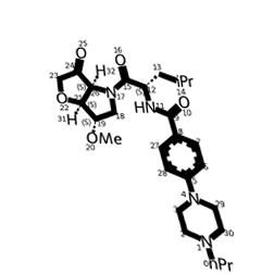 CCCN1CCN(c2ccc(C(=O)N[C@@H](CC(C)C)C(=O)N3C[C@H](OC)[C@H]4OCC(=O)[C@H]43)cc2)CC1